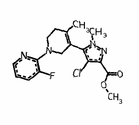 COC(=O)c1nn(C)c(C2=C(C)CCN(c3ncccc3F)C2)c1Cl